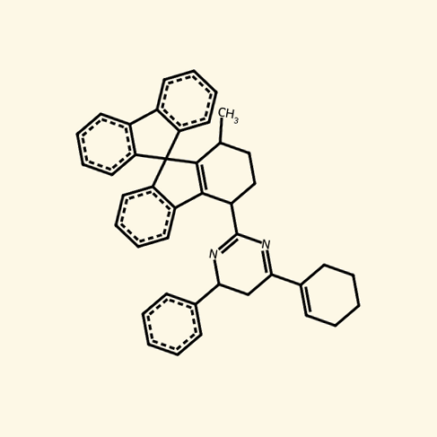 CC1CCC(C2=NC(c3ccccc3)CC(C3=CCCCC3)=N2)C2=C1C1(c3ccccc32)c2ccccc2-c2ccccc21